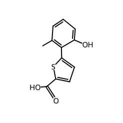 Cc1cccc(O)c1-c1ccc(C(=O)O)s1